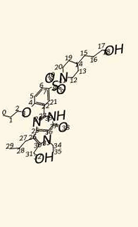 CCCOc1ccc(S(=O)(=O)N2CCC(CCCO)CC2)cc1-c1nc2c(CCC)c(CO)n(CC)c2c(=O)[nH]1